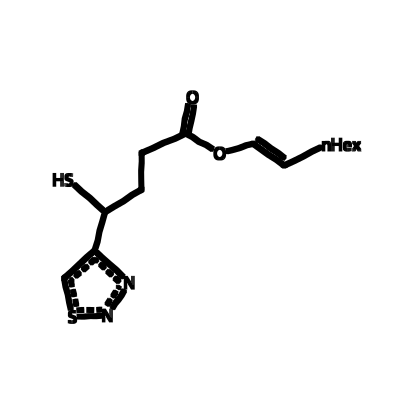 CCCCCCC=COC(=O)CCC(S)c1csnn1